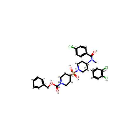 CN(C(=O)c1ccc(Cl)cc1)[C@@H]1CCN(S(=O)(=O)C2CCN(C(=O)OCc3ccccc3)CC2)C[C@H]1c1ccc(Cl)c(Cl)c1